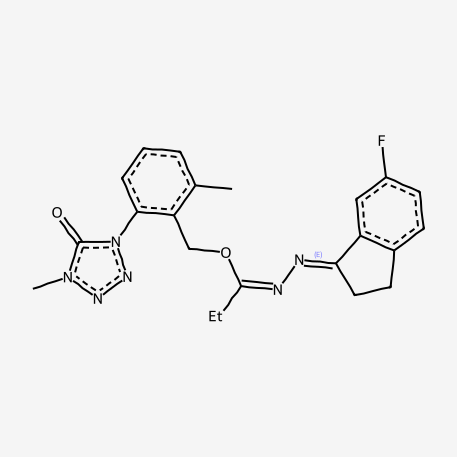 CCC(=N/N=C1\CCc2ccc(F)cc21)OCc1c(C)cccc1-n1nnn(C)c1=O